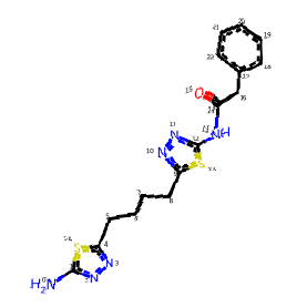 Nc1nnc(CCCCc2nnc(NC(=O)Cc3ccccc3)s2)s1